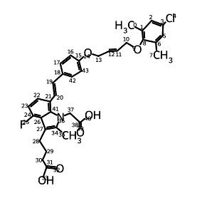 Cc1cc(Cl)cc(C)c1OC/C=C/COc1ccc(C=Cc2ccc(F)c3c(CCCC(=O)O)c(C)n(CC(=O)O)c23)cc1